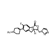 CC(=O)N1CC=C(c2cc3c(cc2F)N2C(=O)O[C@@H](Cn4ccnn4)[C@@H]2C3)CC1